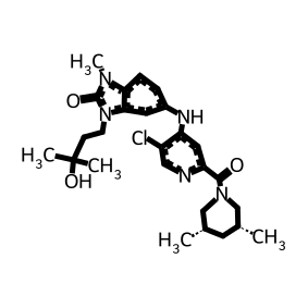 C[C@@H]1C[C@H](C)CN(C(=O)c2cc(Nc3ccc4c(c3)n(CCC(C)(C)O)c(=O)n4C)c(Cl)cn2)C1